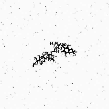 CCOC(=O)CN(C)C(=O)[C@H](CNC)NC(=O)[C@H](CCCN/C(N)=N\S(=O)(=O)c1c(C)c(C)c2c(c1C)CC(C)(C)O2)NC(C)=O